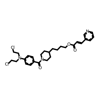 O=C(C=Cc1cccnc1)OCCCCC1CCN(C(=O)c2ccc(N(CCCl)CCCl)cc2)CC1